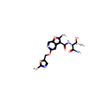 Cc1ncc(COc2cc3c(C(=O)N[C@H](C(N)=O)[C@@H](C)O)c(C)oc3cn2)s1